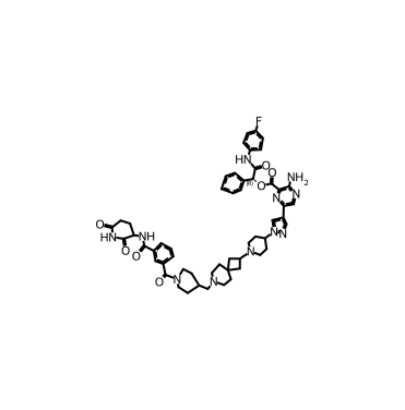 Nc1ncc(-c2cnn(C3CCN(C4CC5(CCN(CC6CCN(C(=O)c7cccc(C(=O)NC8CCC(=O)NC8=O)c7)CC6)CC5)C4)CC3)c2)nc1C(=O)O[C@@H](C(=O)Nc1ccc(F)cc1)c1ccccc1